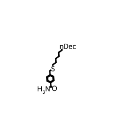 CCCCCCCCCCCCCCCCSCc1ccc(C(N)=O)cc1